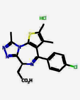 Cc1sc2c(c1C)C(c1ccc(Cl)cc1)=N[C@@H](CC(=O)O)c1nnc(C)n1-2.Cl